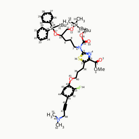 COC(=O)c1nc(N(CCCC(CO[Si](C)(C)C(C)(C)C)O[Si](c2ccccc2)(c2ccccc2)C(C)(C)C)C(=O)OC(C)(C)C)sc1CCCOc1ccc(C#CCN(C)C)cc1F